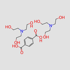 O=C(O)c1ccc(C(=O)O)cc1.OCCN(CCO)CCO.OCCN(CCO)CCO